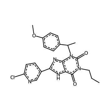 CCCn1c(=O)c2[nH]c(-c3ccc(Cl)nc3)nc2n(C(C)c2ccc(OC)cc2)c1=O